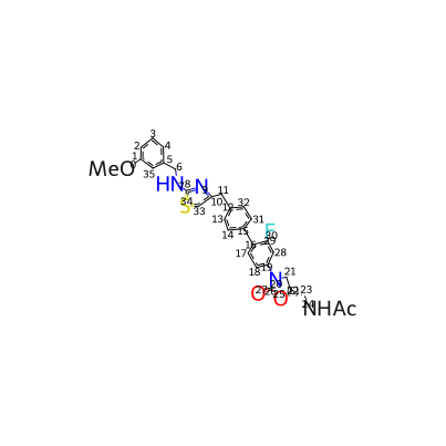 COc1cccc(CNc2nc(Cc3ccc(-c4ccc(N5C[C@H](CNC(C)=O)OC5=O)cc4F)cc3)cs2)c1